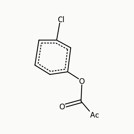 CC(=O)C(=O)Oc1cccc(Cl)c1